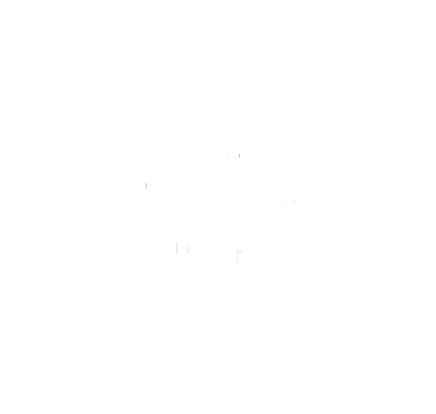 CCC(C(C)C)C(C(CC)C(C)C)S(=O)(=O)O